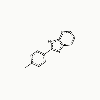 Ic1ccc(-c2nc3cccnc3[nH]2)cc1